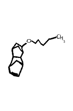 CCCCCOC1CC2CC1C1C3C=CC(C3)C21